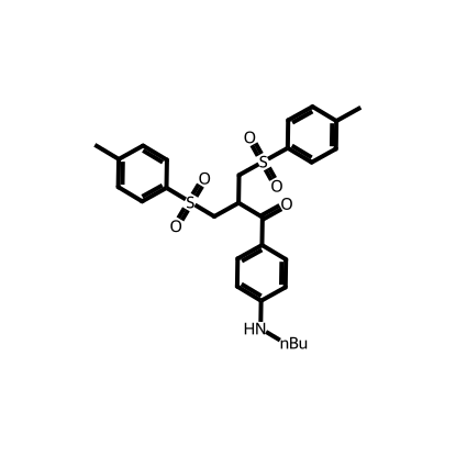 CCCCNc1ccc(C(=O)C(CS(=O)(=O)c2ccc(C)cc2)CS(=O)(=O)c2ccc(C)cc2)cc1